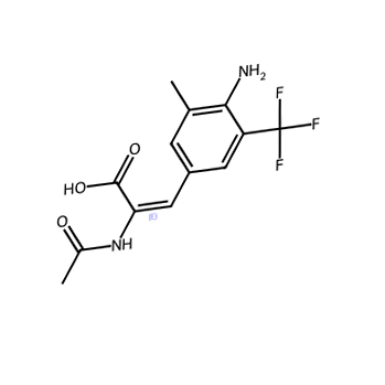 CC(=O)N/C(=C/c1cc(C)c(N)c(C(F)(F)F)c1)C(=O)O